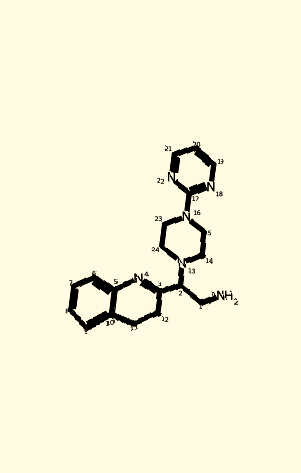 NCC(C1=Nc2ccccc2CC1)N1CCN(c2ncccn2)CC1